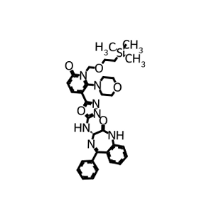 C[Si](C)(C)CCOCn1c(N2CCOCC2)c(-c2nnc(N[C@H]3N=C(c4ccccc4)c4ccccc4NC3=O)o2)ccc1=O